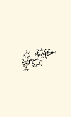 Cc1ccccc1[C@@H](NS(=O)(=O)C1CC1)c1cc2cccc(-c3cc([C@@](C)(O)C(F)(F)F)ccn3)c2s1